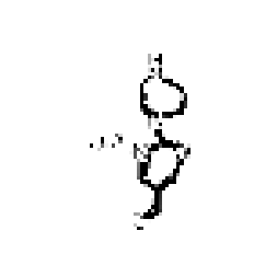 Cl.O=Cc1cnc(N2CCNCC2)nc1